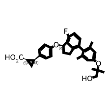 Cc1cc(OC(C)(C)CO)cc(C)c1-c1ccc(F)c2c1CC[C@H]2Oc1ccc([C@H]2C[C@@H]2C(=O)O)cc1